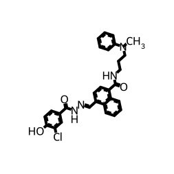 CN(CCCNC(=O)c1ccc(/C=N/NC(=O)c2ccc(O)c(Cl)c2)c2ccccc12)c1ccccc1